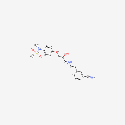 CN(c1ccc(OCC(O)CNCCc2cccc(C#N)c2)cc1)S(C)(=O)=O